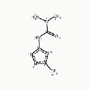 CN(N)C(=O)Nc1nnc(C(F)(F)F)s1